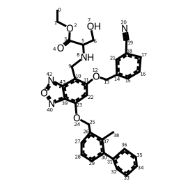 CCOC(=O)C(CO)NCc1c(OCc2cccc(C#N)c2)cc(OCc2cccc(-c3ccccc3)c2C)c2nonc12